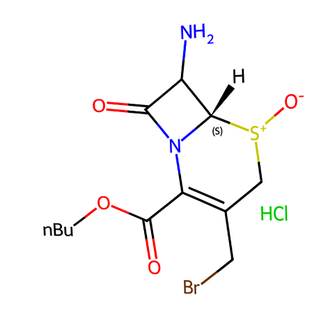 CCCCOC(=O)C1=C(CBr)C[S+]([O-])[C@H]2C(N)C(=O)N12.Cl